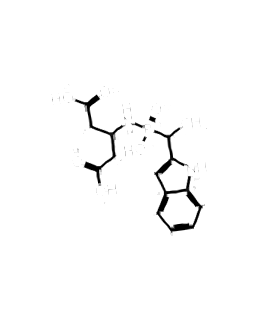 CC(c1cc2ccccc2[nH]1)P(=O)(O)NC(CC(=O)O)CC(=O)O